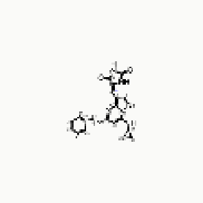 O=C1NC(=O)/C(=C/c2cnn3c(NC4CC4)cc(NCc4ccccc4)nc23)N1